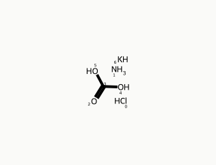 Cl.N.O=C(O)O.[KH]